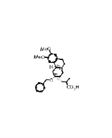 COc1cc2c(cc1OC)[C@@H]1C[C@@H](OCc3ccccc3)[C@@H](CC(C)C(=O)O)CN1CC2